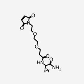 CC(C)C(NC(=O)CCOCCOCCN1C(=O)C=CC1=O)C(N)=O